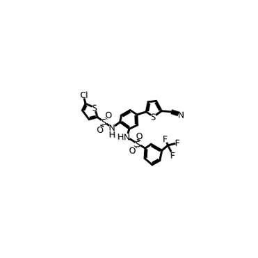 N#Cc1ccc(-c2ccc(NS(=O)(=O)c3ccc(Cl)s3)c(NS(=O)(=O)c3cccc(C(F)(F)F)c3)c2)s1